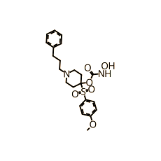 COc1ccc(S(=O)(=O)C2(OC(=O)NO)CCN(CCCc3ccccc3)CC2)cc1